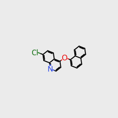 Clc1ccc2c(Oc3cccc4ccccc34)ccnc2c1